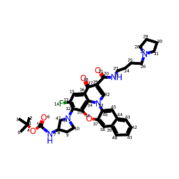 CC(C)(C)OC(=O)NC1CCN(c2c(F)cc3c(=O)c(C(=O)NCCCCN4CCCC4)cn4c3c2Oc2cc3ccccc3cc2-4)C1